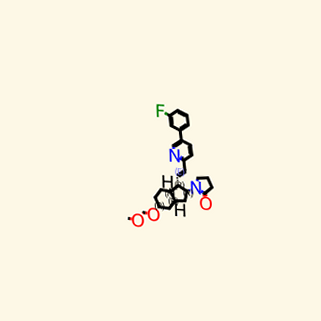 COCO[C@@H]1CC[C@@H]2[C@@H](C1)C[C@@H](N1CCCC1=O)[C@H]2/C=C/c1ccc(-c2cccc(F)c2)cn1